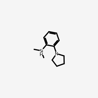 C[SiH](C)c1ccccc1N1CCCC1